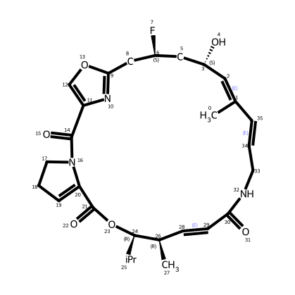 CC1=C\[C@@H](O)C[C@H](F)Cc2nc(co2)C(=O)N2CCC=C2C(=O)O[C@H](C(C)C)[C@H](C)/C=C/C(=O)NC\C=C\1